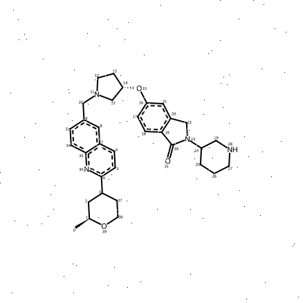 C[C@H]1CC(c2ccc3cc(CN4CC[C@H](Oc5ccc6c(c5)CN(C5CCCNC5)C6=O)C4)ccc3n2)CCO1